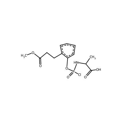 COC(=O)CCc1ccccc1OP(=O)(Cl)NC(C)C(=O)O